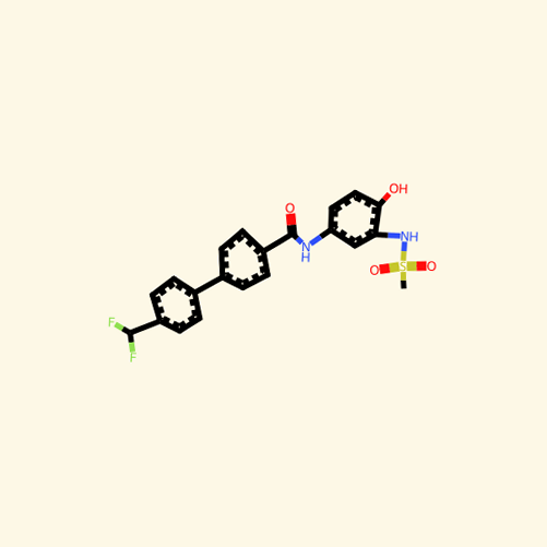 CS(=O)(=O)Nc1cc(NC(=O)c2ccc(-c3ccc(C(F)F)cc3)cc2)ccc1O